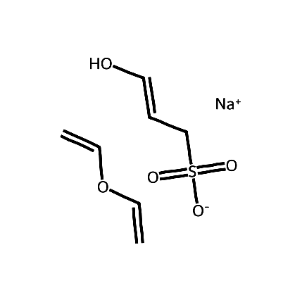 C=COC=C.O=S(=O)([O-])CC=CO.[Na+]